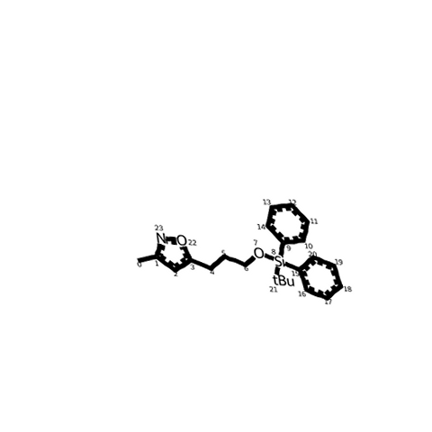 Cc1cc(CCCO[Si](c2ccccc2)(c2ccccc2)C(C)(C)C)on1